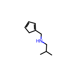 CC(C)CNCC1=CC=CC1